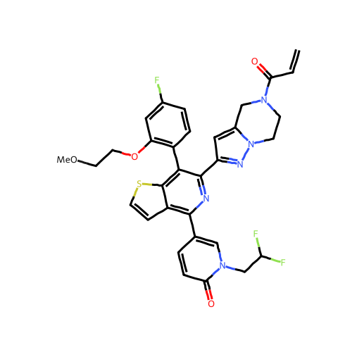 C=CC(=O)N1CCn2nc(-c3nc(-c4ccc(=O)n(CC(F)F)c4)c4ccsc4c3-c3ccc(F)cc3OCCOC)cc2C1